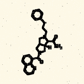 NC(=O)C1[C@@H]2CN(C(=O)c3cccc4cccnc34)CC2CN1CC[CH]c1ccccc1